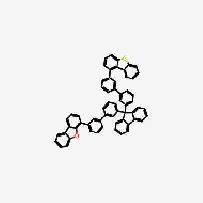 c1cc(-c2cccc(C3(c4cccc(-c5cccc(-c6cccc7sc8ccccc8c67)c5)c4)c4ccccc4-c4ccccc43)c2)cc(-c2cccc3c2oc2ccccc23)c1